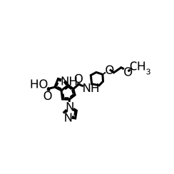 COCCO[C@H]1CC[C@H](NC(=O)c2cc(-n3ccnc3)cc3c(C(=O)O)c[nH]c23)CC1